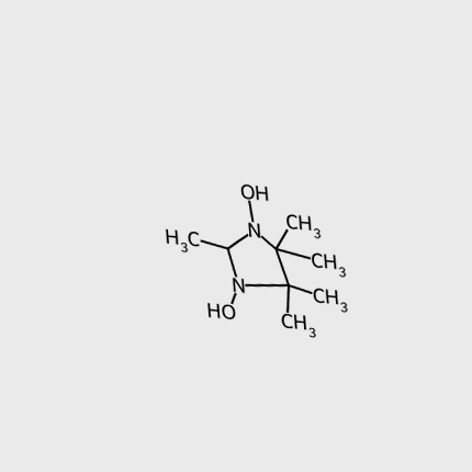 CC1N(O)C(C)(C)C(C)(C)N1O